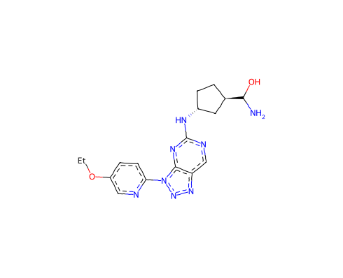 CCOc1ccc(-n2nnc3cnc(N[C@@H]4CC[C@@H](C(N)O)C4)nc32)nc1